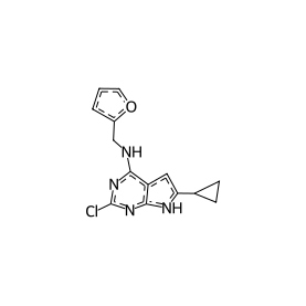 Clc1nc(NCc2ccco2)c2cc(C3CC3)[nH]c2n1